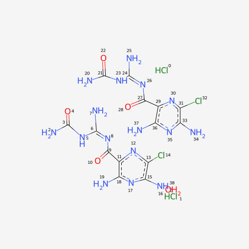 Cl.Cl.NC(=O)NC(N)=NC(=O)c1nc(Cl)c(N)nc1N.NC(=O)NC(N)=NC(=O)c1nc(Cl)c(N)nc1N.O